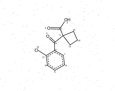 O=C(O)C1(C(=O)c2ccccc2Cl)CCC1